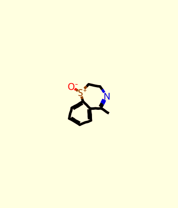 CC1=NCC[S+]([O-])c2ccccc21